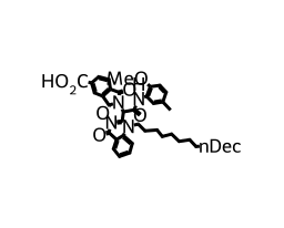 CCCCCCCCCCCCCCCCCCn1c(C(C(=O)Nc2cc(C)ccc2OC)N2C(=O)c3ccc(C(=O)O)cc3C2=O)nc(=O)c2ccccc21